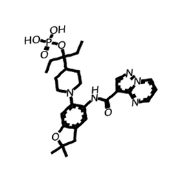 CCC(CC)(OP(=O)(O)O)C1CCN(c2cc3c(cc2NC(=O)c2cnn4cccnc24)CC(C)(C)O3)CC1